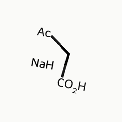 CC(=O)CC(=O)O.[NaH]